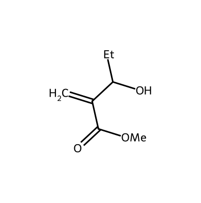 C=C(C(=O)OC)C(O)CC